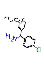 C=C/C=C(\C=C/C)C(N)c1ccc(Cl)cc1